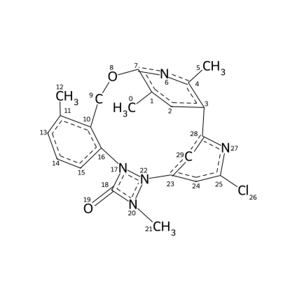 Cc1cc2c(C)nc1OCc1c(C)cccc1-n1c(=O)n(C)n1-c1cc(Cl)nc-2c1